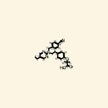 CCc1cnc(N(CCc2ccc(OC(C)(C)C(=O)O)cc2)Cc2ccc(C#N)cc2)nc1